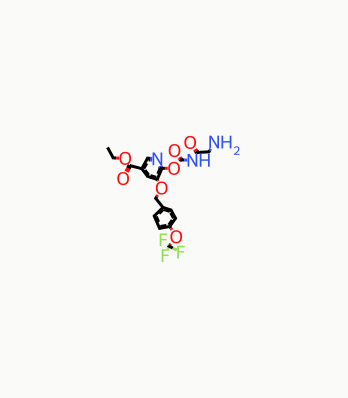 CCOC(=O)c1cnc(OC(=O)NC(=O)CN)c(OCc2ccc(OC(F)(F)F)cc2)c1